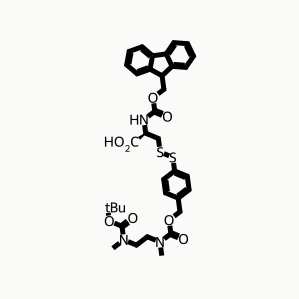 CN(CCN(C)C(=O)OC(C)(C)C)C(=O)OCc1ccc(SSC[C@H](NC(=O)OCC2c3ccccc3-c3ccccc32)C(=O)O)cc1